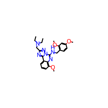 CCN(CC)Cc1nc2c3cccc(OC)c3nc(NCc3ccc(OC)cc3OC)n2n1